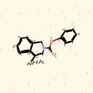 CC(=O)NC1CN(C(=O)Oc2ccccc2)Cc2ccccc21